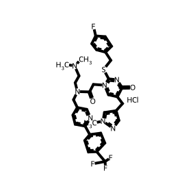 CN(C)CCN(Cc1ccc(-c2ccc(C(F)(F)F)cc2)nc1)C(=O)Cn1cc(Cc2cnn(C)c2)c(=O)nc1SCc1ccc(F)cc1.Cl